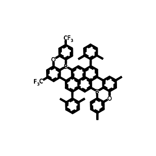 Cc1ccc2c(c1)Oc1cc(C)cc3c1B2c1cc2c(-c4c(C)cccc4C)cc4c5c(cc6c(-c7c(C)cccc7C)cc-3c1c6c25)B1c2ccc(C(F)(F)F)cc2Oc2cc(C(F)(F)F)cc-4c21